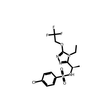 CCn1c(OCC(F)(F)F)nnc1[C@@H](C)NS(=O)(=O)c1ccc(Cl)cc1